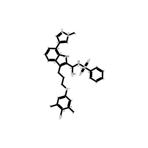 Cc1cc(OCCCc2c(C(O)NS(=O)(=O)c3ccccc3)[nH]c3c(-c4cnn(C)c4)cccc23)cc(C)c1Cl